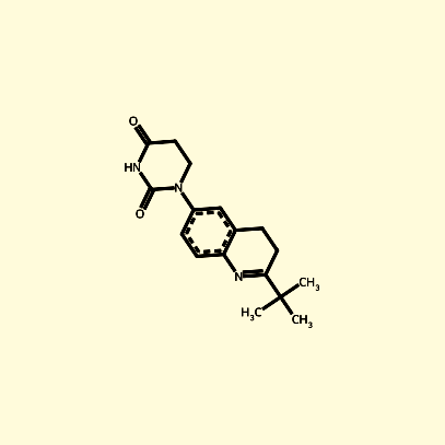 CC(C)(C)C1=Nc2ccc(N3CCC(=O)NC3=O)cc2CC1